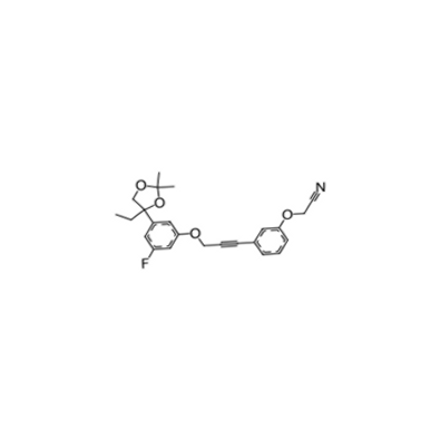 CCC1(c2cc(F)cc(OCC#Cc3cccc(OCC#N)c3)c2)COC(C)(C)O1